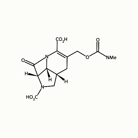 CNC(=O)OCC1=C(C(=O)O)N2C(=O)[C@@H]3[C@H]2[C@H](C1)CN3C(=O)O